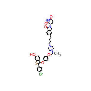 CC(COc1ccc(Oc2c(-c3ccc(Br)cc3)sc3cc(O)ccc23)cc1)N1CCN(CCCCc2ccc3c(c2)CN(C2CCC(=O)NC2=O)C3=O)CC1